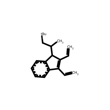 C=CC1=C(C=C)C(C(C)CC(C)(C)C)c2ccccc21